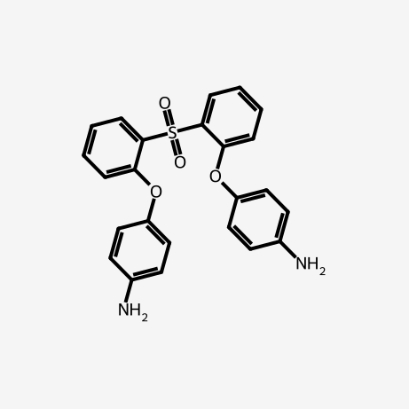 Nc1ccc(Oc2ccccc2S(=O)(=O)c2ccccc2Oc2ccc(N)cc2)cc1